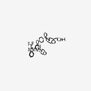 O=C([C@H]1CC[C@H](Oc2cc(-n3c(C(F)F)nc4ccccc43)nc(N3CCOCC3)n2)CC1)N1CCOC(CO)C1